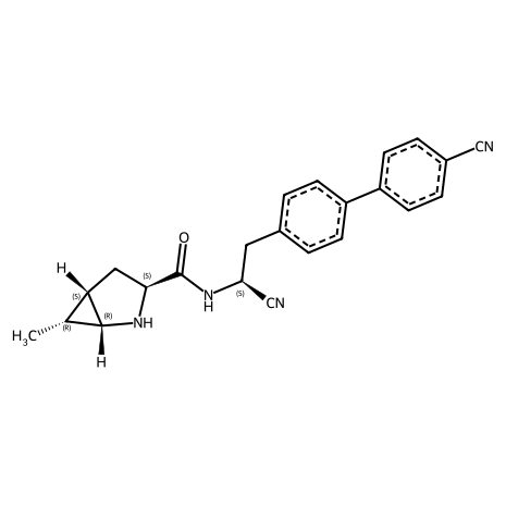 C[C@@H]1[C@@H]2C[C@@H](C(=O)N[C@H](C#N)Cc3ccc(-c4ccc(C#N)cc4)cc3)N[C@H]12